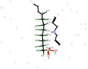 C=CCNCC=C.CCCC(F)C(F)(F)C(F)(F)C(F)(F)C(F)(F)C(F)(F)C(F)(F)C(F)(F)S(=O)(=O)O